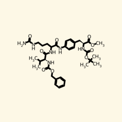 COC(=O)[C@H](Cc1ccc(NC(=O)C(CCCNC(N)=O)NC(=O)[C@H](NC(=O)OCc2ccccc2)C(C)C)cc1)NC(=O)OC(C)(C)C